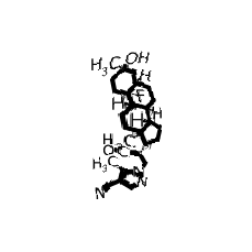 Cc1c(C#N)cnn1CC(=C=O)[C@H]1CC[C@H]2[C@@H]3CC[C@@H]4C[C@](C)(O)CC[C@]4(F)[C@H]3CC[C@]12C